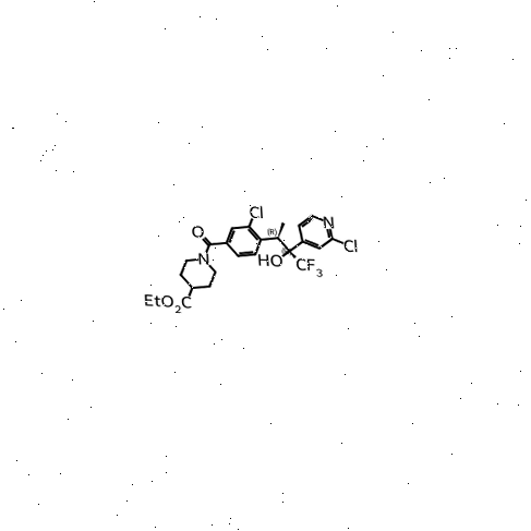 CCOC(=O)C1CCN(C(=O)c2ccc([C@@H](C)[C@@](O)(c3ccnc(Cl)c3)C(F)(F)F)c(Cl)c2)CC1